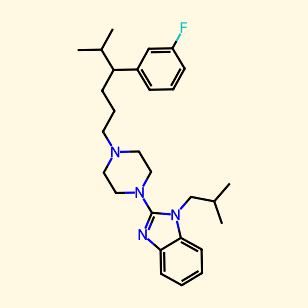 CC(C)Cn1c(N2CCN(CCCC(c3cccc(F)c3)C(C)C)CC2)nc2ccccc21